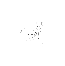 CC1CCc2cc(CN(Cc3cc(C(F)(F)F)cc(C(F)(F)F)c3)c3ncc(N4CCOCC4)cn3)c(N(CC3CC3)CC3CC3)nc21